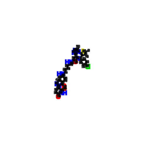 Cc1sc2c(c1C)C(c1ccc(Cl)cc1)=N[C@@H](CC(=O)NCCCCCNc1ccc3c(=O)n(C4CCC(=O)NC4=O)ncc3c1)c1nnc(C)n1-2